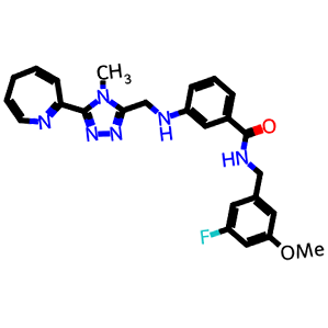 COc1cc(F)cc(CNC(=O)c2cccc(NCc3nnc(C4=NC=CCC=C4)n3C)c2)c1